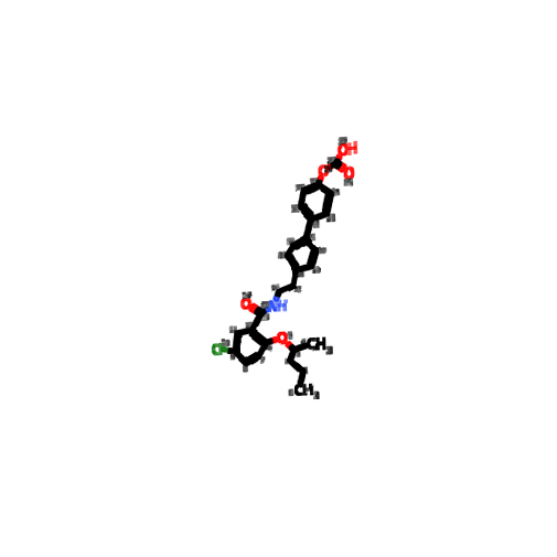 CCCC(C)Oc1ccc(Cl)cc1C(=O)NCCc1ccc(-c2ccc(OC(=O)O)cc2)cc1